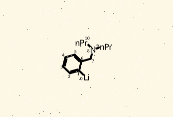 [Li][c]1ccccc1CN(CCC)CCC